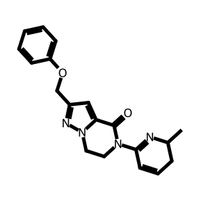 CC1CC=CC(N2CCn3nc(COc4ccccc4)cc3C2=O)=N1